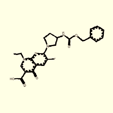 CCn1cc(C(=O)O)c(=O)c2cc(F)c(N3CCC(NC(=O)OCc4ccccc4)C3)nc21